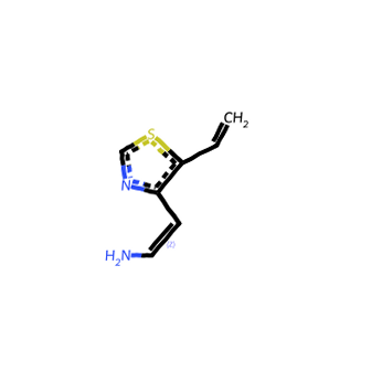 C=Cc1scnc1/C=C\N